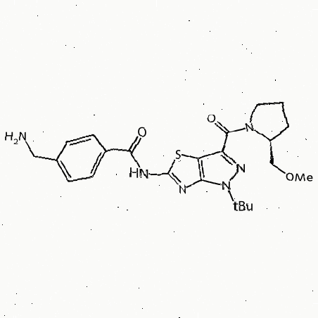 COC[C@@H]1CCCN1C(=O)c1nn(C(C)(C)C)c2nc(NC(=O)c3ccc(CN)cc3)sc12